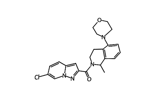 CC1c2cccc(N3CCOCC3)c2CCN1C(=O)c1cc2ccc(Cl)cn2n1